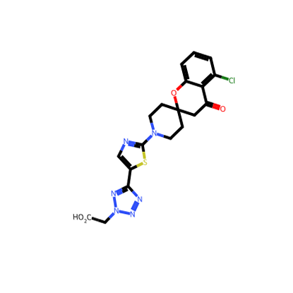 O=C(O)Cn1nnc(-c2cnc(N3CCC4(CC3)CC(=O)c3c(Cl)cccc3O4)s2)n1